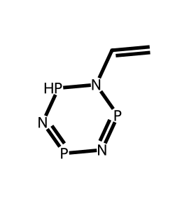 C=CN1P=NP=NP1